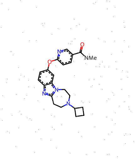 CNC(=O)c1ccc(Oc2ccc3nc4n(c3c2)CCN(C2CCC2)CC4)nc1